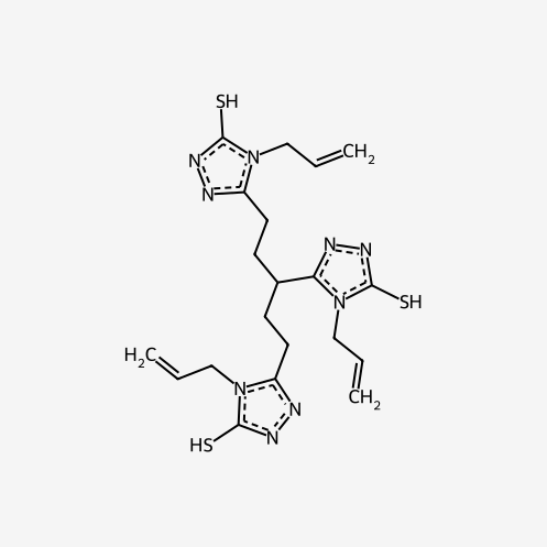 C=CCn1c(S)nnc1CCC(CCc1nnc(S)n1CC=C)c1nnc(S)n1CC=C